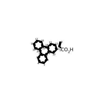 C=CC(=O)O.c1ccc2c(c1)c1ccccc1c1ccccc21